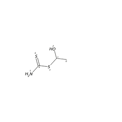 CC(O)SC(N)=S